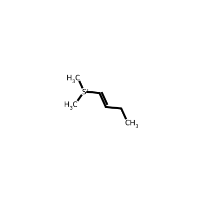 CC/C=C/[S+](C)C